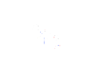 O=C1NC(=S)N(c2ccc(Cl)cc2)C(=O)C1=Cc1ccc([N+](=O)[O-])o1